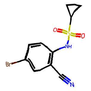 N#Cc1cc(Br)ccc1NS(=O)(=O)C1CC1